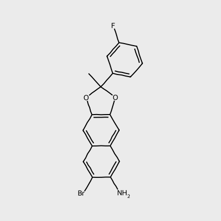 CC1(c2cccc(F)c2)Oc2cc3cc(N)c(Br)cc3cc2O1